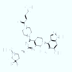 Cc1cc2[nH]ncc2c(N2CCc3c(nc(OC[C@@H]4CC(F)(F)CN4C)nc3N3CCN(C(=O)/C=C/CO)CC3)C2)c1C(F)(F)F